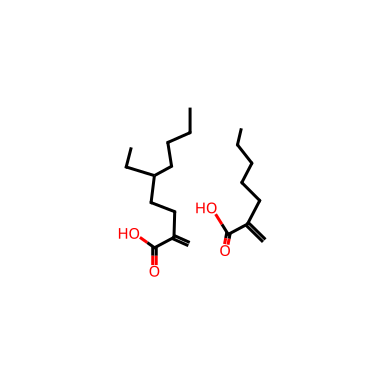 C=C(CCC(CC)CCCC)C(=O)O.C=C(CCCCC)C(=O)O